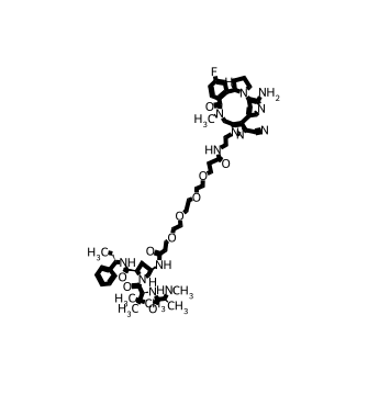 CC[C@H](NC(=O)[C@H]1C[C@@H](NC(=O)CCOCCOCCOCCOCCC(=O)NCCn2nc(C#N)c3c2CN(C)C(=O)c2ccc(F)cc2[C@H]2CCCN2c2cc-3cnc2N)CN1C(=O)[C@H](NC(=O)[C@@H](C)NC)C(C)(C)C)c1ccccc1